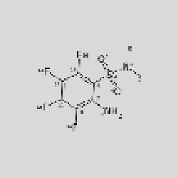 CN(C)S(=O)(=O)c1c(N)c(F)c(F)c(F)c1F